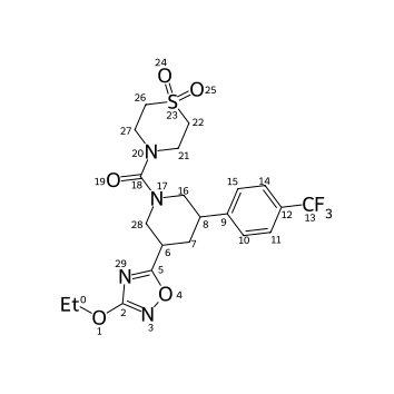 CCOc1noc(C2CC(c3ccc(C(F)(F)F)cc3)CN(C(=O)N3CCS(=O)(=O)CC3)C2)n1